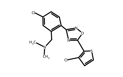 CN(C)Cc1cc(Cl)ccc1-c1noc(-c2sccc2Cl)n1